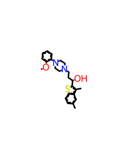 COc1ccccc1N1CCN(CCC(O)c2sc3ccc(C)cc3c2C)CC1